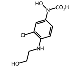 O=C(O)N(O)c1ccc(NCCO)c(Cl)c1